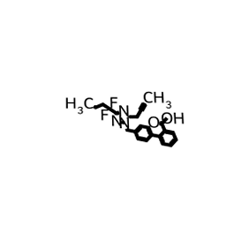 CC#CCc1nc(C(F)(F)CCC)nn1Cc1ccc(-c2ccccc2C(=O)O)cc1